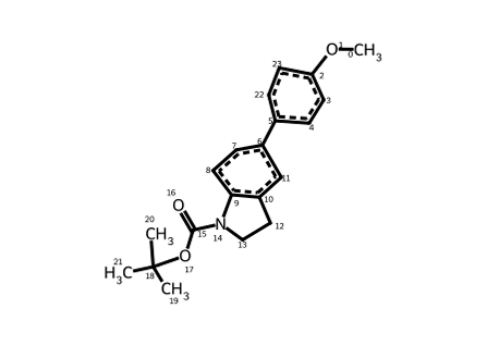 COc1ccc(-c2ccc3c(c2)CCN3C(=O)OC(C)(C)C)cc1